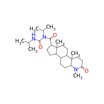 CC(C)NC(=O)N(C(=O)C1CCC2C3CCC4N(C)C(=O)CCC4(C)C3CCC12C)C(C)C